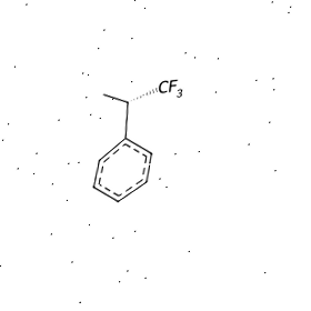 C[C@@H](c1ccccc1)C(F)(F)F